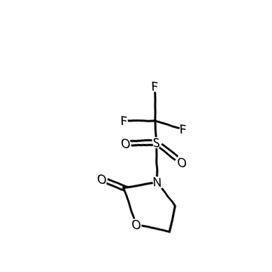 O=C1OCCN1S(=O)(=O)C(F)(F)F